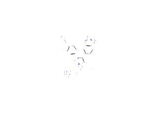 CCOc1c(-c2ccc3c(cnn3C)c2)c(-c2ccc(C#N)c(F)c2)nn1CC1CNCCO1